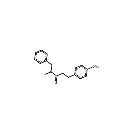 COc1ccc(CCC(=O)N(C)Cc2ccccc2)cc1